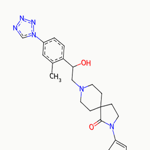 Cc1cc(-n2cnnn2)ccc1C(O)CN1CCC2(CC1)CCN(C1=CC(=O)OC1)C2=O